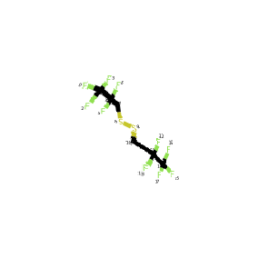 FC(F)(F)C(F)(F)CSSCC(F)(F)C(F)(F)F